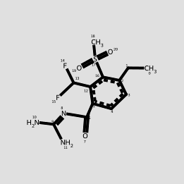 CCc1ccc(C(=O)N=C(N)N)c(C(F)F)c1S(C)(=O)=O